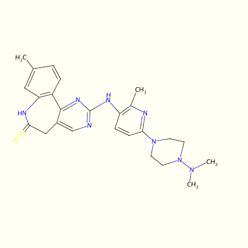 Cc1ccc2c(c1)NC(=S)Cc1cnc(Nc3ccc(N4CCN(N(C)C)CC4)nc3C)nc1-2